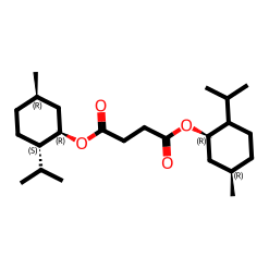 CC(C)C1CC[C@@H](C)C[C@H]1OC(=O)CCC(=O)O[C@@H]1C[C@H](C)CC[C@H]1C(C)C